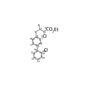 CCOC(=O)C(Cl)C(C)Cc1ccc(-c2ccccc2Cl)cc1